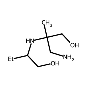 CCC(CO)NC(C)(CN)CO